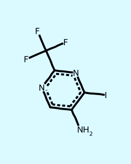 Nc1cnc(C(F)(F)F)nc1I